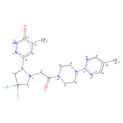 O=C(CN1CC(F)(F)CC1c1cc(C(F)(F)F)c(=O)[nH]n1)N1CCN(c2ncc(C(F)(F)F)cn2)CC1